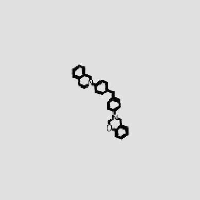 c1ccc2c(c1)CCN(c1ccc(Cc3ccc(N4COc5ccccc5C4)cc3)cc1)C2